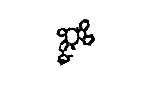 C=C1CC2[n+]3ccccc3-c3ccccc3C2(C)CCc2ccccc2-c2ccc(-c3ccccc3C)c[n+]21